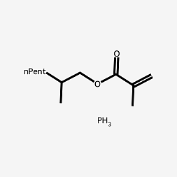 C=C(C)C(=O)OCC(C)CCCCC.P